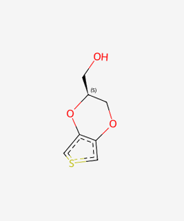 OC[C@H]1COc2cscc2O1